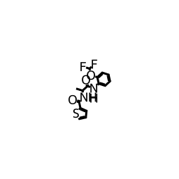 CC(NC(=O)c1cccs1)C(=O)Nc1ccccc1OC(F)F